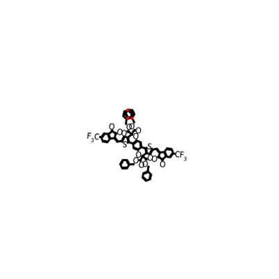 O=C1C(=O)c2cc(C(F)(F)F)ccc2/C1=C/c1cc2c(s1)-c1cc3c(cc1OC2(C(=O)OCc1ccccc1)C(=O)OCc1ccccc1)-c1sc(/C=C2\C(=O)C(=O)c4cc(C(F)(F)F)ccc42)cc1C(C(=O)OCc1ccccc1)(C(=O)OCc1ccccc1)O3